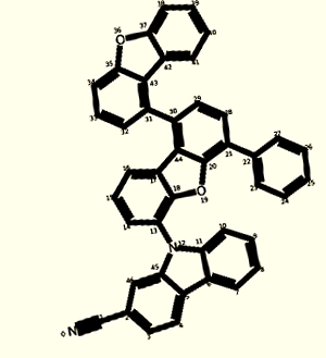 N#Cc1ccc2c3ccccc3n(-c3cccc4c3oc3c(-c5ccccc5)ccc(-c5cccc6oc7ccccc7c56)c34)c2c1